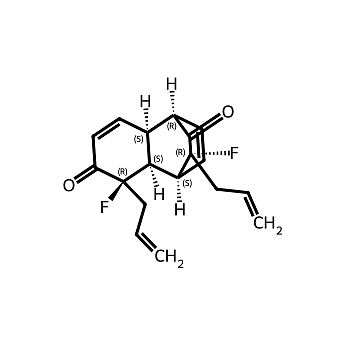 C=CC[C@]1(F)C(=O)C=C[C@@H]2[C@H]1[C@@H]1C=C[C@H]2C(=O)[C@@]1(F)CC=C